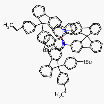 C=Cc1ccc(C2(c3ccc(C(C)(C)C)cc3)c3ccccc3-c3ccc(N(c4ccc5c(c4)C4(c6ccccc6-5)c5ccccc5-c5ccc(N(c6ccc7c(c6)C(c6ccc(C=C)cc6)(c6ccc(C(C)(C)C)cc6)c6ccccc6-7)c6cccc7ccccc67)cc54)c4cccc5ccccc45)cc32)cc1